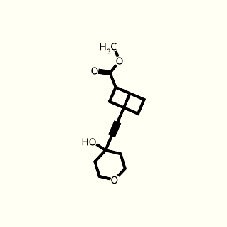 COC(=O)C1CC2(C#CC3(O)CCOCC3)CCC12